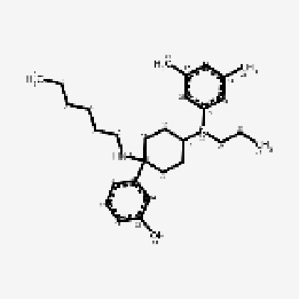 CCCCCCNC1(c2cccc(O)c2)CCC(N(CCC)c2cc(C)cc(C)c2)CC1